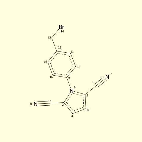 N#Cc1ccc(C#N)n1-c1ccc(CBr)cc1